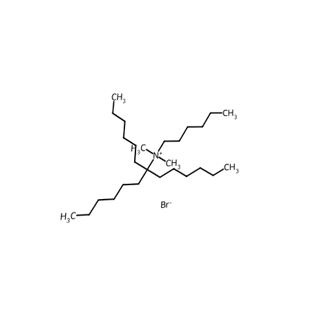 CCCCCCC(CCCCCC)(CCCCCC)[N+](C)(C)CCCCCC.[Br-]